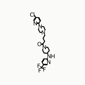 O=C(CCCN1CCN(c2ccc(Cl)cn2)CC1)N1CCC(Nc2ccc(C(F)(F)F)cn2)CC1